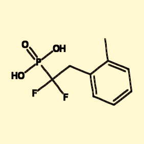 Cc1ccccc1CC(F)(F)P(=O)(O)O